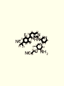 C[C@H]1CN(c2ccncc2Nc2ncc3ccc(-c4c(F)cc(C(C)(C)C#N)cc4F)nn23)C[C@@H](N)[C@H]1OCCC#N